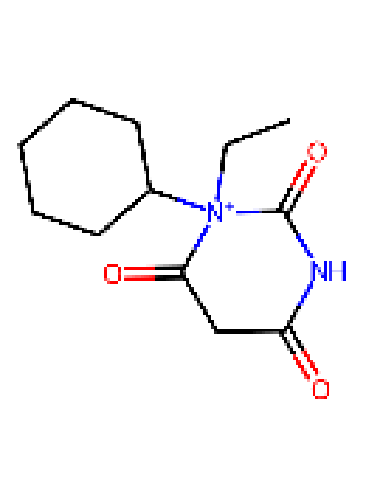 CC[N+]1(C2CCCCC2)C(=O)CC(=O)NC1=O